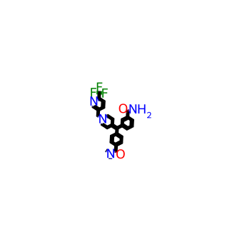 CN(C)C(=O)c1ccc(C(=C2CCN(Cc3ccc(C(F)(F)F)nc3)CC2)c2cccc(C(N)=O)c2)cc1